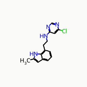 Cc1cc2cccc(CCNc3cc(Cl)ncn3)c2[nH]1